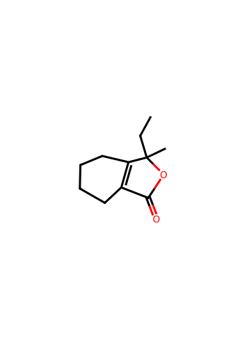 CCC1(C)OC(=O)C2=C1CCCC2